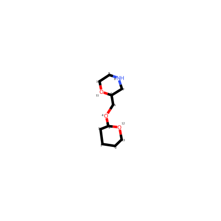 C1CCC(OCC2CNCCO2)OC1